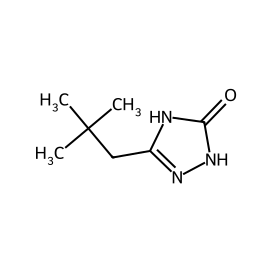 CC(C)(C)Cc1n[nH]c(=O)[nH]1